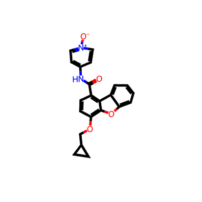 O=C(Nc1cc[n+]([O-])cc1)c1ccc(OCC2CC2)c2oc3ccccc3c12